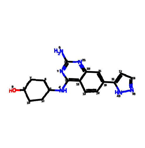 Nc1nc(NC2CCC(O)CC2)c2ccc(-c3ccn[nH]3)cc2n1